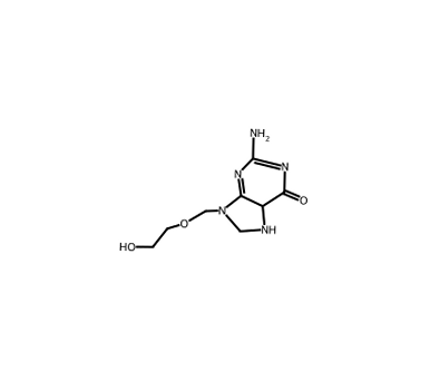 NC1=NC(=O)C2NCN(COCCO)C2=N1